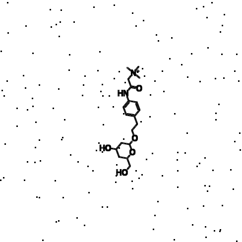 C[N+](C)(C)CC(=O)Nc1ccc(CCOC2CC(O)CC(CO)O2)cc1